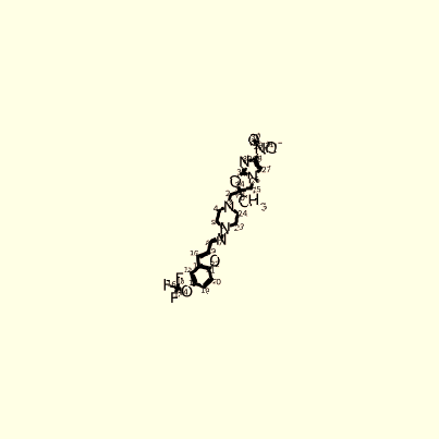 C[C@@]1(CN2CCN(N=Cc3cc4cc(OC(F)(F)F)ccc4o3)CC2)Cn2cc([N+](=O)[O-])nc2O1